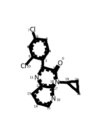 O=c1c(-c2ccc(Cl)cc2Cl)nc2cccnc2n1C1CC1